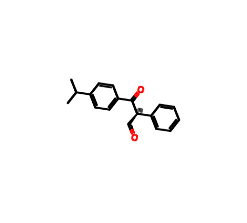 CC(C)c1ccc(C(=O)[C@H](C=O)c2ccccc2)cc1